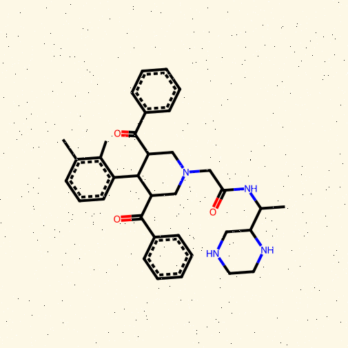 Cc1cccc(C2C(C(=O)c3ccccc3)CN(CC(=O)NC(C)C3CNCCN3)CC2C(=O)c2ccccc2)c1C